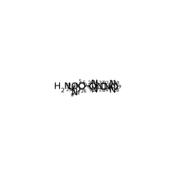 CN(Cc1cccc(-c2cnc(N3CCN(c4ncccn4)CC3)nc2)c1)C(=O)CN